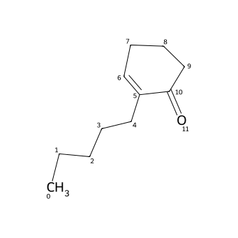 CCCCCC1=CCCCC1=O